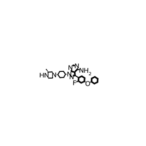 C[C@H]1CN([C@H]2CC[C@@H](n3nc(-c4ccc(Oc5ccccc5)cc4F)c4c(N)ncnc43)CC2)CCN1